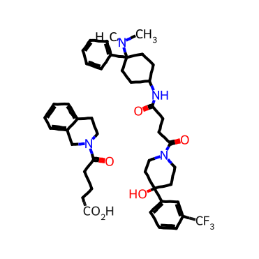 CN(C)C1(c2ccccc2)CCC(NC(=O)CCC(=O)N2CCC(O)(c3cccc(C(F)(F)F)c3)CC2)CC1.O=C(O)CCCC(=O)N1CCc2ccccc2C1